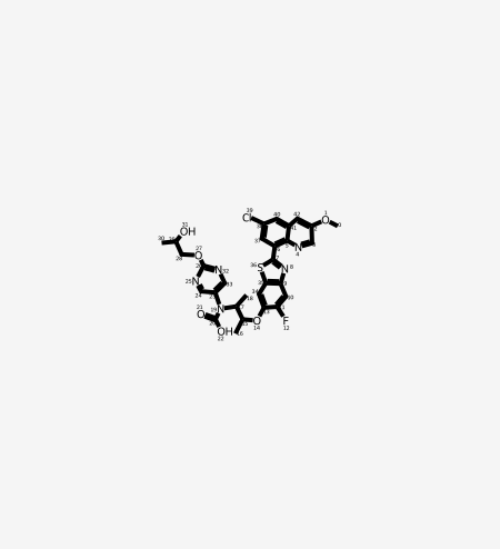 COc1cnc2c(-c3nc4cc(F)c(OC(C)C(C)N(C(=O)O)c5cnc(OCC(C)O)nc5)cc4s3)cc(Cl)cc2c1